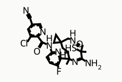 CC1(c2nc(NC(=O)c3ncc(C#N)cc3Cl)ccc2F)N=C(N)C(C)(C)[SH]2(=O)NCC3(CC3)C[C@H]12